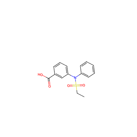 CCS(=O)(=O)N(c1ccccc1)c1cccc(C(=O)O)c1